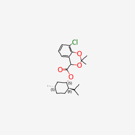 CC(C)[C@H]1CC[C@H](C)C[C@@H]1OC(=O)C1OC(C)(C)Oc2c(Cl)cccc21